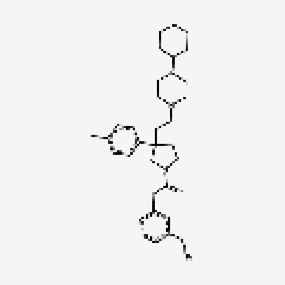 Cc1ccc(C2(CCN3CCN(C4CCCCC4)CC3)CCN(C(=O)Cc3cccc(OC(C)C)c3)C2)cc1